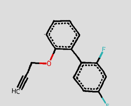 C#CCOc1[c]cccc1-c1ccc(F)cc1F